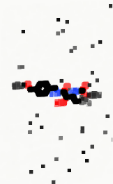 CC(C)(C)OCc1ccc(CNC(=O)C(O)C(CC(F)(F)F)NC(=O)OC(C)(C)C)cc1